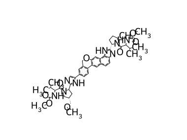 COC[C@H]1CC(c2ncc(-c3ccc4c(c3)COc3cc5c(ccc6nc([C@@H]7CC[C@H](C)N7C(=O)[C@@H](NC(=O)OC)C(C)C)[nH]c65)cc3-4)[nH]2)N(C(=O)[C@@H](NC(=O)OC)C(C)C)C1